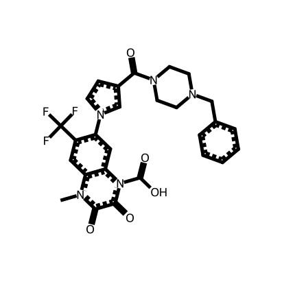 Cn1c(=O)c(=O)n(C(=O)O)c2cc(-n3ccc(C(=O)N4CCN(Cc5ccccc5)CC4)c3)c(C(F)(F)F)cc21